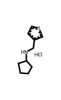 Cl.c1cc(CNC2CCCC2)cs1